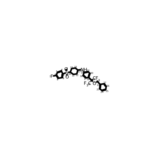 O=S(=O)(c1ccc(F)cc1)C1CCC(Nc2ccc(C(OCc3ccccc3)(C(F)(F)F)C(F)(F)F)cc2)CC1